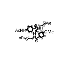 CCCSCCNC(=O)c1ccc(OC)cc1.CSCCNS(=O)(=O)c1ccc(NC(C)=O)cc1